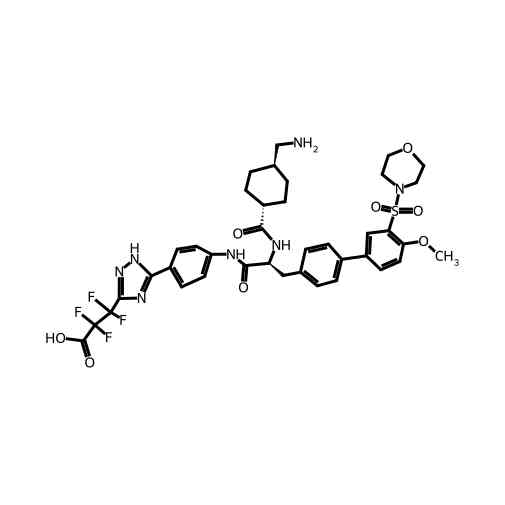 COc1ccc(-c2ccc(C[C@H](NC(=O)[C@H]3CC[C@H](CN)CC3)C(=O)Nc3ccc(-c4nc(C(F)(F)C(F)(F)C(=O)O)n[nH]4)cc3)cc2)cc1S(=O)(=O)N1CCOCC1